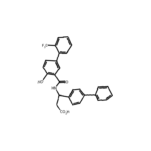 O=C(O)CC(NC(=O)c1cc(-c2ccccc2C(F)(F)F)ccc1O)c1ccc(-c2ccccc2)cc1